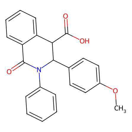 COc1ccc(C2C(C(=O)O)c3ccccc3C(=O)N2c2ccccc2)cc1